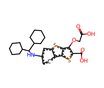 O=C(O)COc1c(C(=O)O)sc2c1sc1cc(NC(C3CCCCC3)C3CCCCC3)ccc12